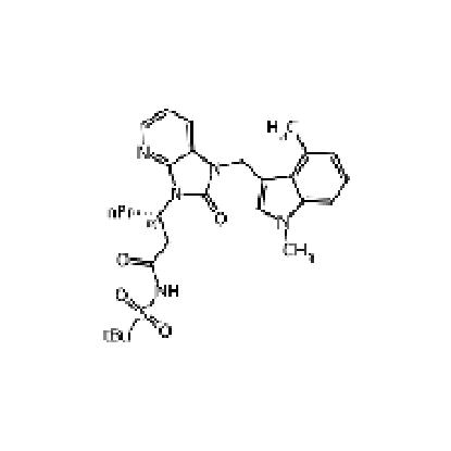 CCC[C@@H](CC(=O)NS(=O)(=O)C(C)(C)C)n1c(=O)n(Cc2cn(C)c3cccc(C)c23)c2cccnc21